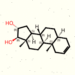 C[C@]12CC=CC[C@@H]1CC[C@@H]1[C@@H]2CC[C@]2(C)[C@@H](O)[C@H](O)C[C@@H]12